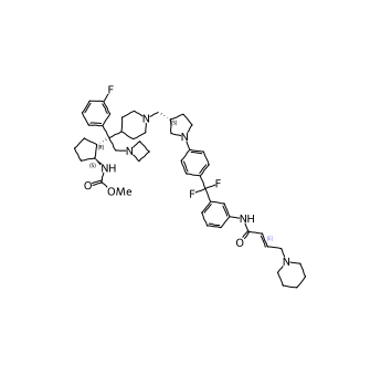 COC(=O)N[C@H]1CCC[C@@H]1C(CN1CCC1)(c1cccc(F)c1)C1CCN(C[C@@H]2CCN(c3ccc(C(F)(F)c4cccc(NC(=O)/C=C/CN5CCCCC5)c4)cc3)C2)CC1